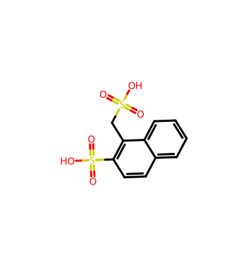 O=S(=O)(O)Cc1c(S(=O)(=O)O)ccc2ccccc12